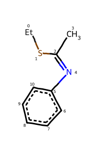 CCS/C(C)=N\c1ccccc1